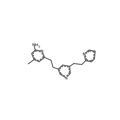 Cc1cc(N)nc(CCc2cncc(CCc3ccccn3)c2)c1